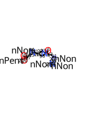 CCCCCCCCC/C=C(/CCC(=O)N1CCC(CCN(CCCCCCCCC)CCCC(=O)OCCCCC)CC1)CCN(CCCCCCCCC)CCCCCCCCC